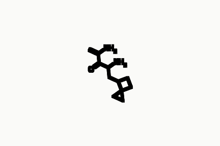 C=C(N)C(=O)C(N)CC1CCC12CC2